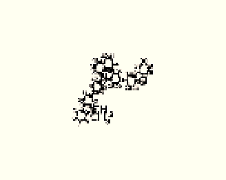 CC1(C)C2=C(CCC=C2)c2ccc(-c3ccc(N(c4ccc(-c5ccc6oc7c#cccc7c6c5)cc4)c4cccc5ccccc45)cc3)cc21